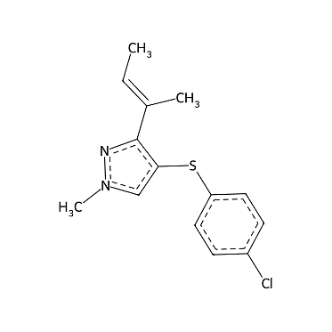 C/C=C(\C)c1nn(C)cc1Sc1ccc(Cl)cc1